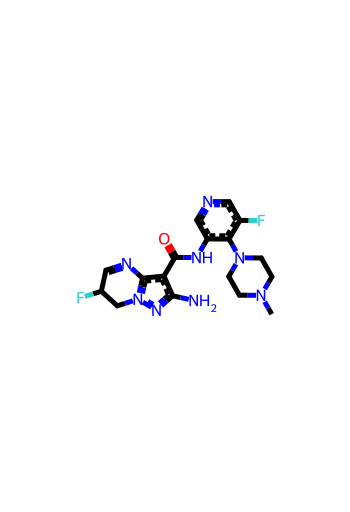 CN1CCN(c2c(F)cncc2NC(=O)c2c(N)nn3c2N=CC(F)C3)CC1